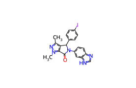 Cc1nn(C)c2c1C(c1ccc(I)cc1)N(c1ccc3nc[nH]c3c1)C2=O